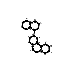 [c]1cccc2c(-c3ccc4ccc5ccccc5c4c3)cccc12